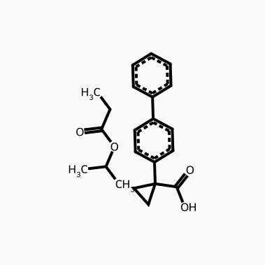 CCC(=O)OC(C)C.O=C(O)C1(c2ccc(-c3ccccc3)cc2)CC1